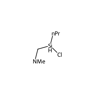 CCC[SiH](Cl)CNC